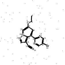 CCOc1cc(-c2ncc(Br)cn2)c2c(C#N)cnn2c1